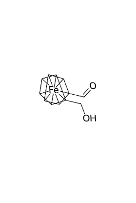 O=C[C]12[CH]3[CH]4[CH]5[CH]1[Fe]45321678[CH]2[CH]1[CH]6[C]7(CO)[CH]28